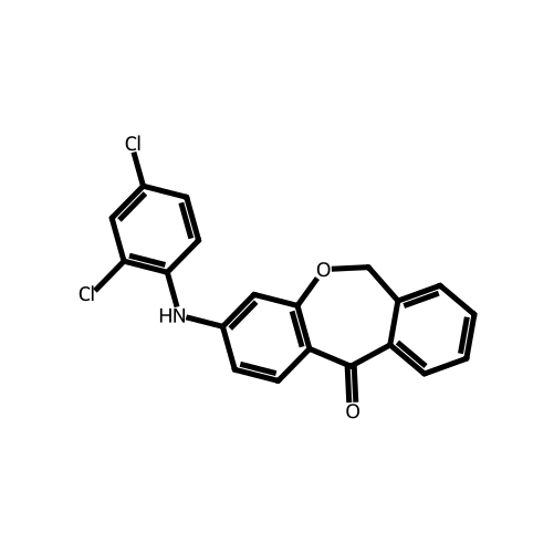 O=C1c2ccccc2COc2cc(Nc3ccc(Cl)cc3Cl)ccc21